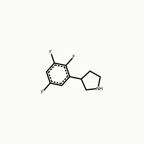 Fc1cc(F)c(F)c(C2CCNC2)c1